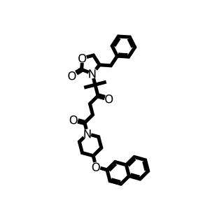 CC(C)(C(=O)CCC(=O)N1CCC(Oc2ccc3ccccc3c2)CC1)N1C(=O)OCC1Cc1ccccc1